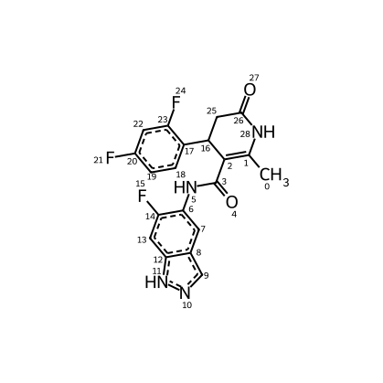 CC1=C(C(=O)Nc2cc3cn[nH]c3cc2F)C(c2ccc(F)cc2F)CC(=O)N1